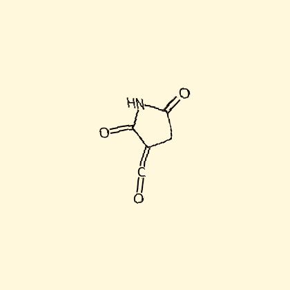 O=C=C1CC(=O)NC1=O